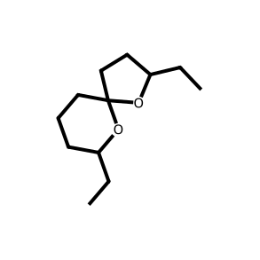 CCC1CCCC2(CCC(CC)O2)O1